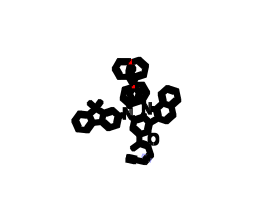 C#C/C=C\c1oc2c(cc(N(c3ccc(-c4ccccc4)cc3)c3ccc4c(c3)C(C)(C)c3ccccc3-4)c3c2c2ccc4ccccc4c2n3-c2ccc(-c3ccccc3)cc2)c1C